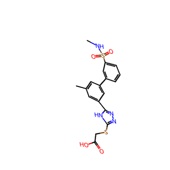 CNS(=O)(=O)c1cccc(-c2cc(C)cc(-c3nnc(SCC(=O)O)[nH]3)c2)c1